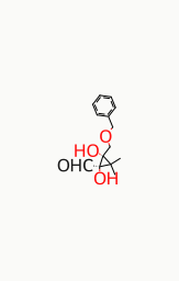 CC1(C)[C@](O)(C=O)[C@@]1(O)COCc1ccccc1